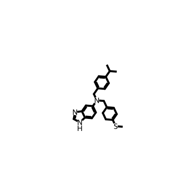 CSC1=CC=C(CN(Cc2ccc(C(C)C)cc2)c2ccc3[nH]cnc3c2)CC1